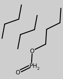 CCCC.CCCC.CCCCO[PH2]=O